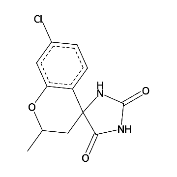 CC1CC2(NC(=O)NC2=O)c2ccc(Cl)cc2O1